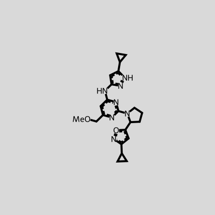 COCc1cc(Nc2cc(C3CC3)[nH]n2)nc(N2CCCC2c2cc(C3CC3)no2)n1